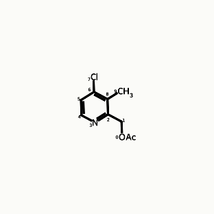 CC(=O)OCc1nccc(Cl)c1C